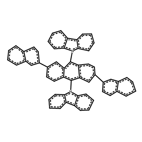 c1ccc2cc(-c3ccc4c(-n5c6ccccc6c6ccccc65)c5cc(-c6ccc7ccccc7c6)ccc5c(-n5c6ccccc6c6ccccc65)c4c3)ccc2c1